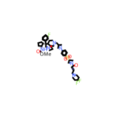 COC(=O)N[C@H]1CCC[C@@H]1C(CN1CCC1)(c1cccc(F)c1)C1CCN(CC2CN(c3ccc(S(=O)(=O)C4CN(C(=O)/C=C/CN5CCC(F)(F)CC5)C4)cc3)C2)CC1